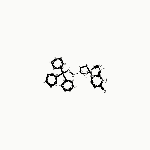 N#C[C@]1(n2ccc(=O)[nH]c2=O)CC[C@@H](COC(c2ccccc2)(c2ccccc2)c2ccccc2)O1